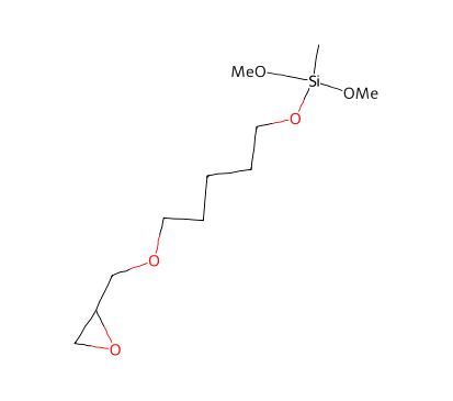 CO[Si](C)(OC)OCCCCCOCC1CO1